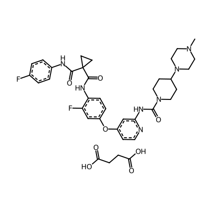 CN1CCN(C2CCN(C(=O)Nc3cc(Oc4ccc(NC(=O)C5(C(=O)Nc6ccc(F)cc6)CC5)c(F)c4)ccn3)CC2)CC1.O=C(O)CCC(=O)O